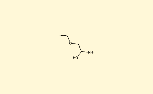 CCOCC([NH])O